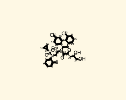 CC[C@@H](CN(c1ccccc1F)S(=O)(=O)C1CC1)N1C(=O)[C@@H](C[C@H](O)CO)O[C@H](c2cccc(Cl)c2)[C@H]1c1ccc(Cl)cc1